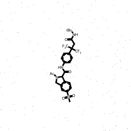 CC(=O)N1Cc2cc(S(C)(=O)=O)ccc2C1C(=O)Nc1ccc(C(CC(=O)NC(C)(C)C)(C(F)(F)F)C(F)(F)F)cc1